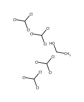 CCO.ClC(Cl)Cl.ClC(Cl)Cl.ClC(Cl)Cl.ClC(Cl)Cl